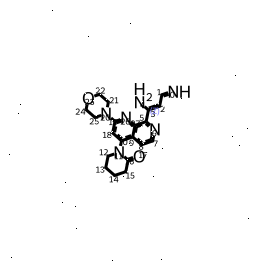 N=C/C=C(\N)c1nccc2c(N3CCCCC3=O)cc(N3CCOCC3)nc12